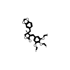 C[C@]1(Cc2ccc3c(c2)OCO3)COC(=O)/C1=C\c1cc(OCI)c(OCI)c(OCI)c1